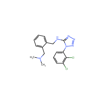 CN(C)Cc1ccccc1CNc1nnnn1-c1cccc(Cl)c1Cl